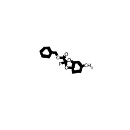 Cc1ccc2c(c1)OC(F)(C(=O)OCc1ccccc1)O2